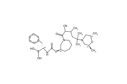 CC(CC(C)(C)N1C[C@H](C)O[C@@H](C)C1)C(C#N)C(=O)N1CCCC[C@@H](OC(=O)N[C@@H](Cc2ccccc2)B(O)O)C1